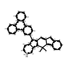 CC1(C)C2=c3ccccc3=CC2=Cc2c(-c3ccc4c5ccccc5c5ccccc5c4c3)c3cc[nH]cc-3c21